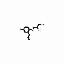 C=CCc1cc(Cl)ccc1OCC(O)CN